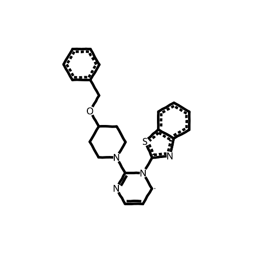 [CH]1C=CN=C(N2CCC(OCc3ccccc3)CC2)N1c1nc2ccccc2s1